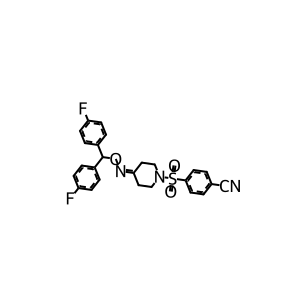 N#Cc1ccc(S(=O)(=O)N2CCC(=NOC(c3ccc(F)cc3)c3ccc(F)cc3)CC2)cc1